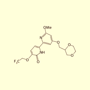 COc1cc(OCC2COCCO2)cc(-c2ccc(OCC(F)(F)F)c(=O)[nH]2)n1